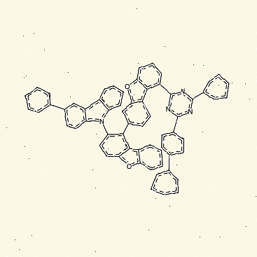 c1ccc(-c2ccc(-c3nc(-c4ccccc4)nc(-c4cccc5oc6cc(-c7c(-n8c9ccccc9c9cc(-c%10ccccc%10)ccc98)ccc8oc9ccccc9c78)ccc6c45)n3)cc2)cc1